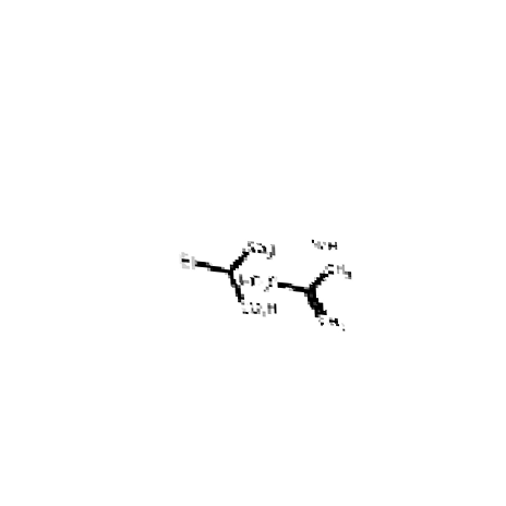 C=C(C)C(=O)O.CCC(C(=O)O)S(=O)(=O)O.[NaH]